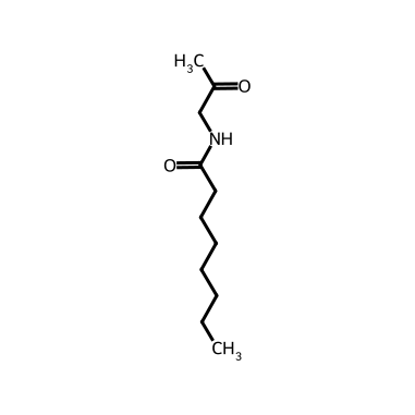 CCCCCCCC(=O)NCC(C)=O